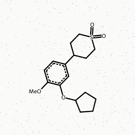 COc1ccc(C2CCS(=O)(=O)CC2)cc1OC1CCCC1